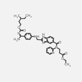 CCOC(=O)CCN(C(=O)c1ccc2[nH]c(CNc3ccc(/C(N)=N\C(=O)OCCC(C)CC)cc3)nc2c1)c1ccccn1